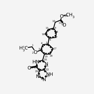 CCOc1cc(-c2ccc(CC(=O)OC)cc2)ccc1-c1nc2[nH]nnc2c(=O)[nH]1